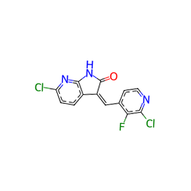 O=C1Nc2nc(Cl)ccc2/C1=C/c1ccnc(Cl)c1F